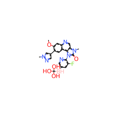 COc1cc2ncc3c(c2cc1-c1cnn(C)c1)n(-c1ncc(BC(O)(O)O)cc1F)c(=O)n3C